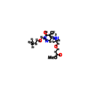 COC(=O)CCOCC(C)(C)Nc1cnn(COCC[Si](C)(C)C)c(=O)c1C(F)(F)F